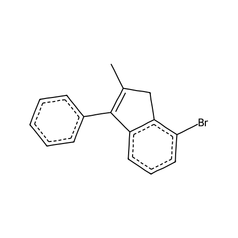 CC1=C(c2ccccc2)c2cccc(Br)c2C1